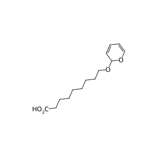 O=C(O)CCCCCCCCOC1C=CC=CO1